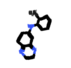 O=[N+]([O-])c1ccccc1Nc1ccc2nccnc2c1